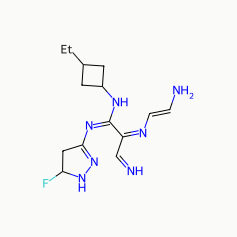 CCC1CC(NC(=N/C2=NNC(F)C2)/C(C=N)=N\C=C\N)C1